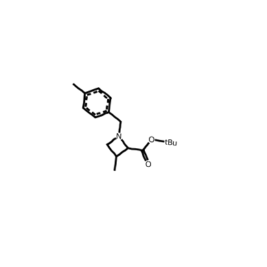 Cc1ccc(CN2CC(C)C2C(=O)OC(C)(C)C)cc1